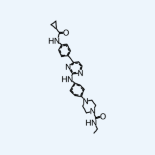 CCNC(=O)N1CCN(c2ccc(Nc3nccc(-c4ccc(NC(=O)C5CC5)cc4)n3)cc2)CC1